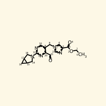 CCOC(=O)c1cn(Cc2cnc(N3CC4CC4C3)nc2C=O)cn1